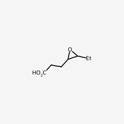 CCC1OC1CCC(=O)O